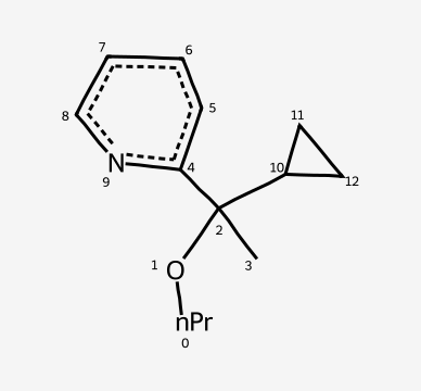 CCCOC(C)(c1ccccn1)C1CC1